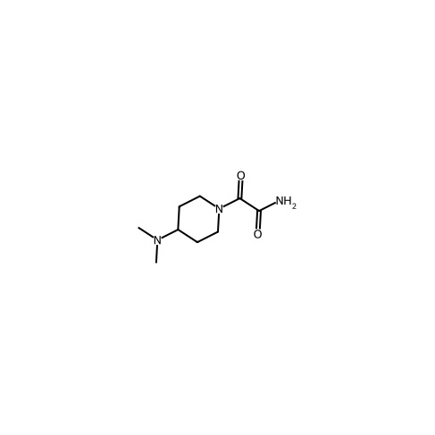 CN(C)C1CCN(C(=O)C(N)=O)CC1